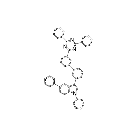 c1ccc(-c2ccc3c(c2)c(-c2cccc(-c4cccc(-c5nc(-c6ccccc6)nc(-c6ccccc6)n5)c4)c2)cn3-c2ccccc2)cc1